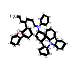 C=C/C=C(\C=C/CN(c1ccccc1)c1ccc(-c2ccccc2-n2c3ccccc3c3ccccc32)cc1)c1cccc2c1oc1ccccc12